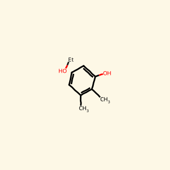 CCO.Cc1cccc(O)c1C